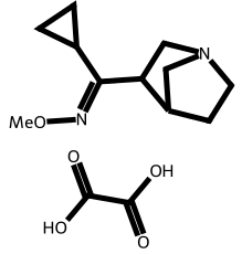 CON=C(C1CC1)C1CN2CCC1C2.O=C(O)C(=O)O